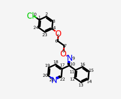 Clc1ccc(OCCON=C(c2ccccc2)c2cccnc2)cc1